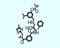 Cc1csc(CN(C)C(=O)c2cccc(C(=O)N[C@@H](Cc3ccccc3)[C@H](O)CNCc3cc(OC(=O)N(C)C)cc(C(C)C)c3)c2)n1